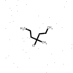 CCCC(C)(Cl)CCC